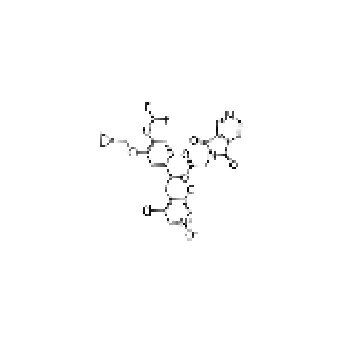 O=C(CN1C(=O)c2ccncc2C1=O)OC(Cc1c(Cl)c[n+]([O-])cc1Cl)c1ccc(OC(F)F)c(OCC2CC2)c1